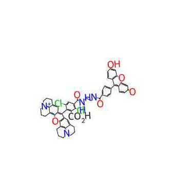 O=C(NCCNC(=O)c1cc(Cl)c(C2=c3cc4c5c(c3Oc3c2cc2c6c3CCCN6CCC2)CCC[N+]=5CCC4)c(C(=O)O)c1Cl)c1ccc(-c2c3ccc(=O)cc-3oc3cc(O)ccc23)cc1